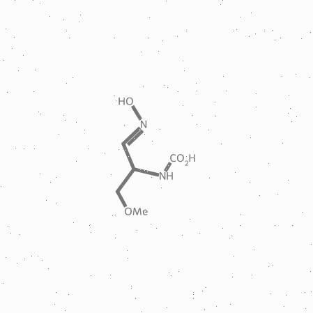 COCC(C=NO)NC(=O)O